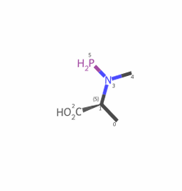 C[C@@H](C(=O)O)N(C)P